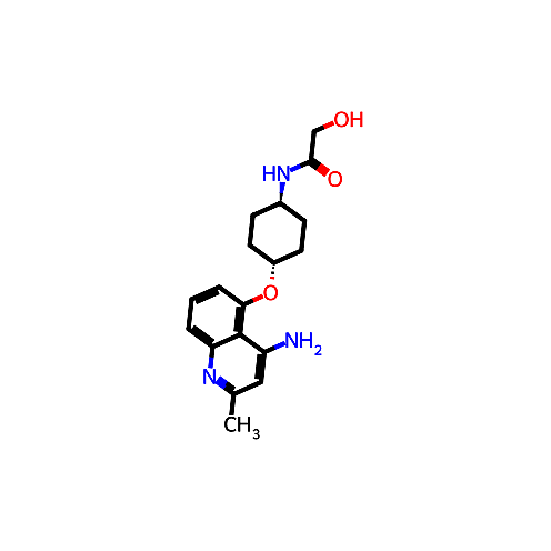 Cc1cc(N)c2c(O[C@H]3CC[C@H](NC(=O)CO)CC3)cccc2n1